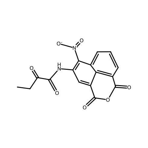 CCC(=O)C(=O)Nc1cc2c3c(cccc3c1[N+](=O)[O-])C(=O)OC2=O